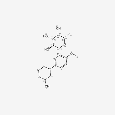 COc1ccc(C2CCCC(O)C2)cc1[C@H]1O[C@@H](C)[C@@H](O)[C@@H](O)[C@@H]1O